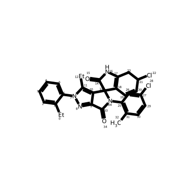 CCc1ccccc1-n1nc2c(c1CC)C1(C(=O)NC3=C1C=CC(Cl)C3)N(c1cc(Cl)ccc1C)C2=O